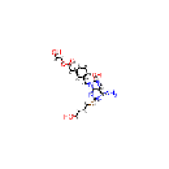 Nc1nc(SCCCCO)nc2c1nc(O)n2Cc1cccc(CC(=O)OCCO)c1